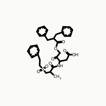 CC(CS(=O)(=O)CCc1ccccc1)C(=O)NC(CC(=O)O)C(=O)COC(=O)C(Cc1ccccc1)Cc1ccccc1